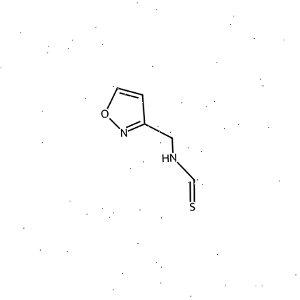 S=[C]NCc1ccon1